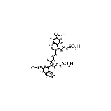 C\C(=C/C=C/C(C)=[N+](\CCCS(=O)(=O)O)c1cc(C=O)cc(C=O)c1C)N(CCCS(=O)(=O)O)c1ccc(C(=O)O)cc1C